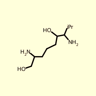 CC(C)C(N)C(O)CCCC(N)CO